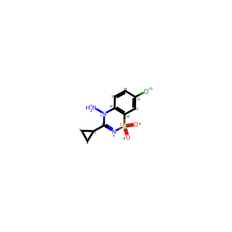 NN1C(C2CC2)=NS(=O)(=O)c2cc(Cl)ccc21